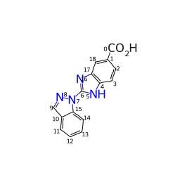 O=C(O)c1ccc2[nH]c(-n3ncc4ccccc43)nc2c1